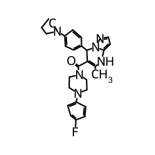 CC1=C(C(=O)N2CCN(c3ccc(F)cc3)CC2)C(c2ccc(N3CCCC3)cc2)n2nccc2N1